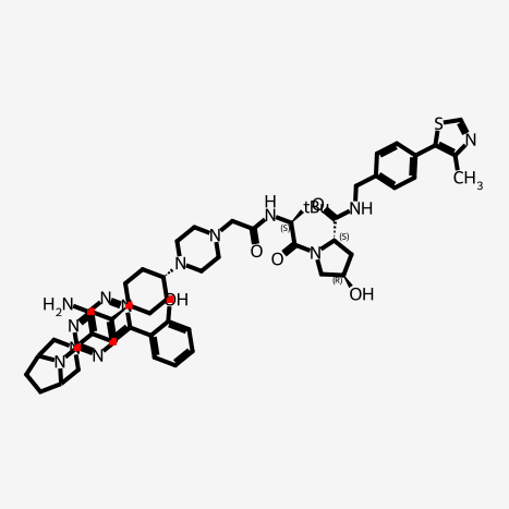 Cc1ncsc1-c1ccc(CNC(=O)[C@@H]2C[C@@H](O)CN2C(=O)[C@@H](NC(=O)CN2CCN([C@H]3CC[C@H](c4cnc(N5C6CCC5CN(c5cc(-c7ccccc7O)nnc5N)C6)nc4)CC3)CC2)C(C)(C)C)cc1